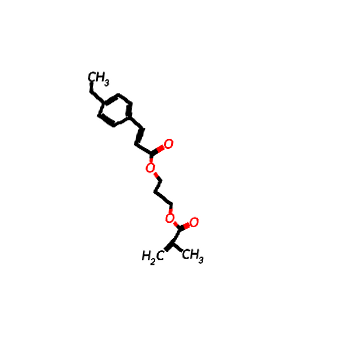 C=C(C)C(=O)OCCCOC(=O)/C=C/c1ccc(CC)cc1